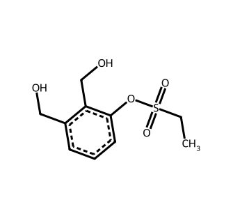 CCS(=O)(=O)Oc1cccc(CO)c1CO